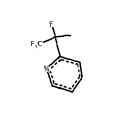 CC(F)(c1ccccn1)C(F)(F)F